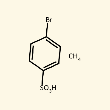 C.O=S(=O)(O)c1ccc(Br)cc1